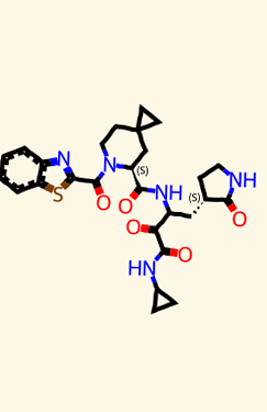 O=C(NC1CC1)C(=O)C(C[C@@H]1CCNC1=O)NC(=O)[C@@H]1CC2(CCN1C(=O)c1nc3ccccc3s1)CC2